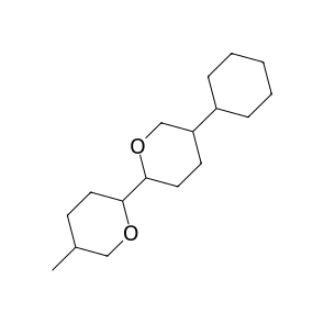 CC1CCC(C2CCC(C3CCCCC3)CO2)OC1